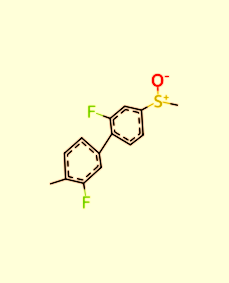 Cc1ccc(-c2ccc([S+](C)[O-])cc2F)cc1F